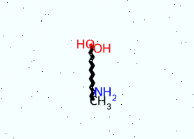 CCC(N)CCCCCCCCCC(O)O